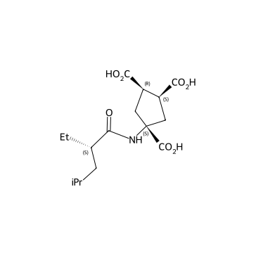 CC[C@@H](CC(C)C)C(=O)N[C@@]1(C(=O)O)C[C@H](C(=O)O)[C@H](C(=O)O)C1